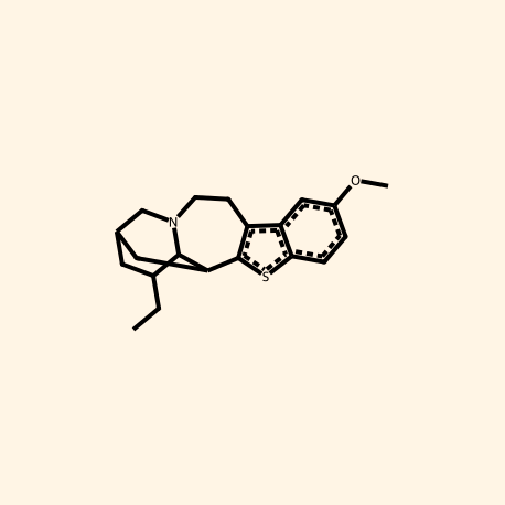 CCC1CC2CC3c4sc5ccc(OC)cc5c4CCN(C2)C13